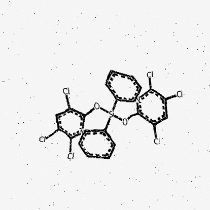 Clc1cc(Cl)c(O[Si](Oc2nc(Cl)c(Cl)cc2Cl)(c2ccccc2)c2ccccc2)nc1Cl